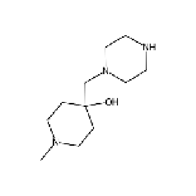 CN1CCC(O)(CN2CCNCC2)CC1